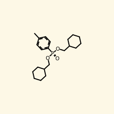 Cc1ccc(P(=O)(OCC2CCCCC2)OCC2CCCCC2)cc1